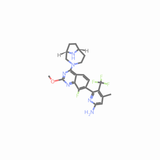 COc1nc(N2CC[C@H]3CC[C@@H](C2)N3)c2ccc(-c3nc(N)cc(C)c3C(F)(F)F)c(F)c2n1